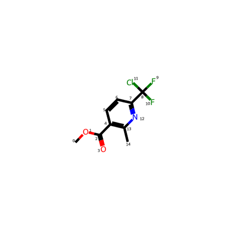 COC(=O)c1ccc(C(F)(F)Cl)nc1C